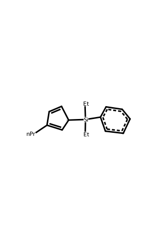 CCCC1=C[C]([Si](CC)(CC)c2ccccc2)C=C1